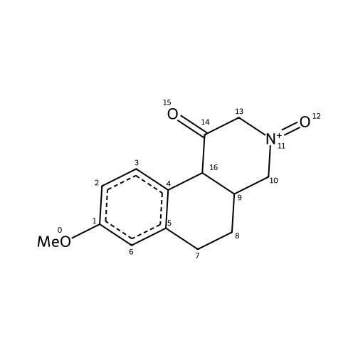 COc1ccc2c(c1)CCC1C[N+](=O)CC(=O)C21